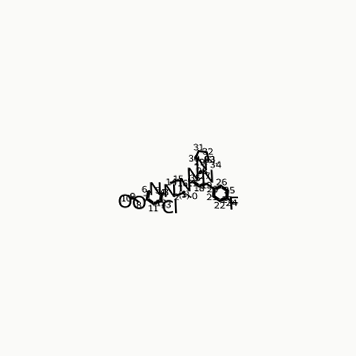 C[C@H]1CN(c2ncc(OC=O)cc2Cl)CCN1c1cc(-c2ccc(F)cc2)nc(N2CCC[C@@H]2C)n1